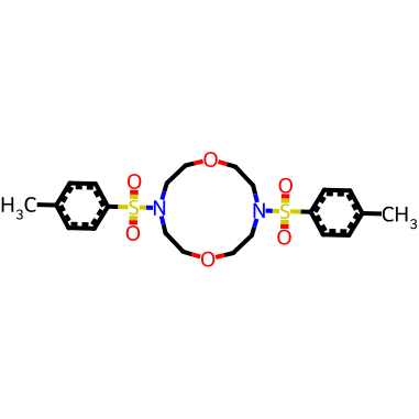 Cc1ccc(S(=O)(=O)N2CCOCCN(S(=O)(=O)c3ccc(C)cc3)CCOCC2)cc1